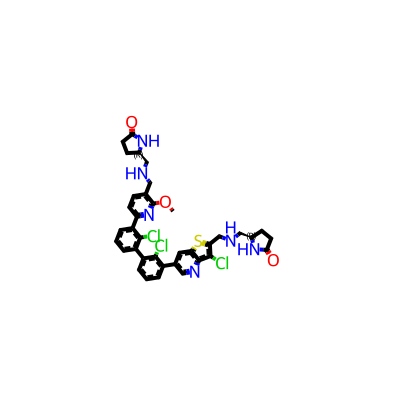 COc1nc(-c2cccc(-c3cccc(-c4cnc5c(Cl)c(CNC[C@H]6CCC(=O)N6)sc5c4)c3Cl)c2Cl)ccc1CNC[C@H]1CCC(=O)N1